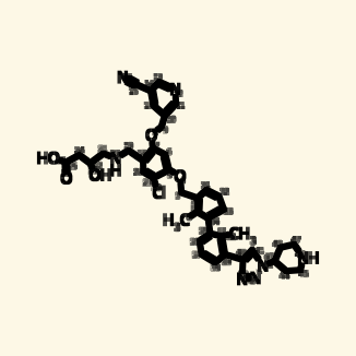 Cc1c(COc2cc(OCc3cncc(C#N)c3)c(CNCC(O)CC(=O)O)cc2Cl)cccc1-c1cccc(-c2cn(C3CCNCC3)nn2)c1C